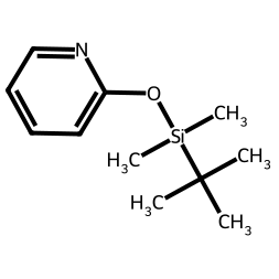 CC(C)(C)[Si](C)(C)Oc1ccccn1